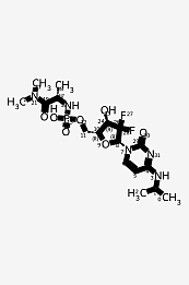 CC(C)Nc1ccn([C@@H]2O[C@H](COP(=O)(O)N[C@@H](C)C(=O)N(C)C)[C@@H](O)C2(F)F)c(=O)n1